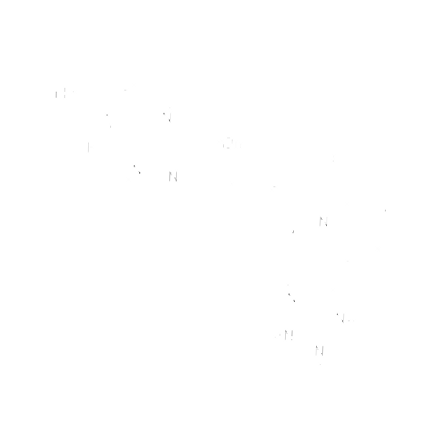 CCCCc1nc(C(F)(F)CCC)nn1Cc1ccc(-n2c(Cl)ccc2-c2nnn[nH]2)cc1